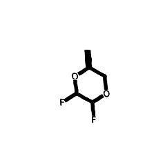 C=C1COC(F)C(F)O1